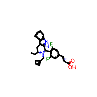 CCC1Cc2c([nH]c3ccccc23)C(c2c(F)cc(/C=C/C(=O)O)cc2F)N1CC12CC(C1)C2